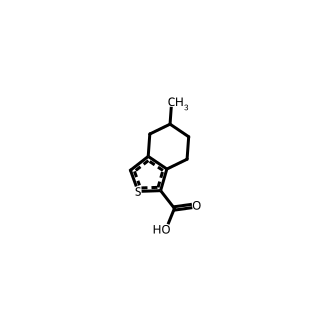 CC1CCc2c(csc2C(=O)O)C1